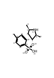 C[C@@H]1CC[C@H](C)N1.Cc1ccc(S(=O)(=O)O)cc1